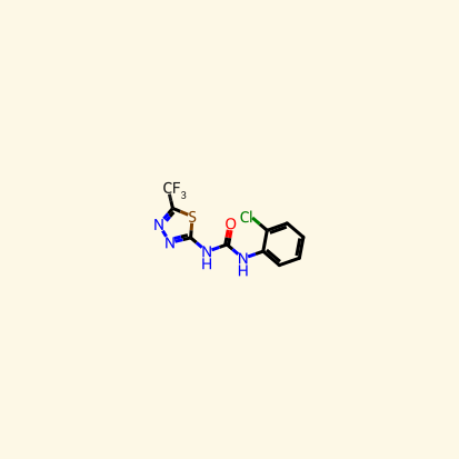 O=C(Nc1nnc(C(F)(F)F)s1)Nc1ccccc1Cl